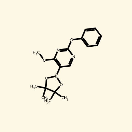 COc1nc(Oc2ccccc2)ncc1B1OC(C)(C)C(C)(C)O1